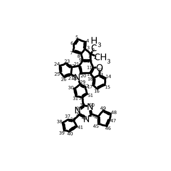 CC1(C)c2ccccc2-c2c1c1oc3ccccc3c1c1c2c2ccccc2n1-c1ccc(-c2nc(-c3ccccc3)nc(-c3ccccc3)n2)cc1